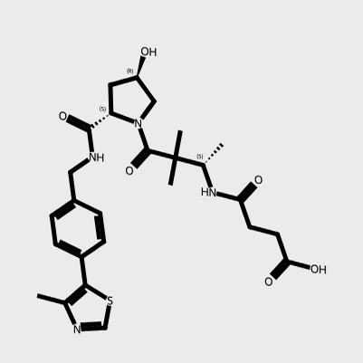 Cc1ncsc1-c1ccc(CNC(=O)[C@@H]2C[C@@H](O)CN2C(=O)C(C)(C)[C@H](C)NC(=O)CCC(=O)O)cc1